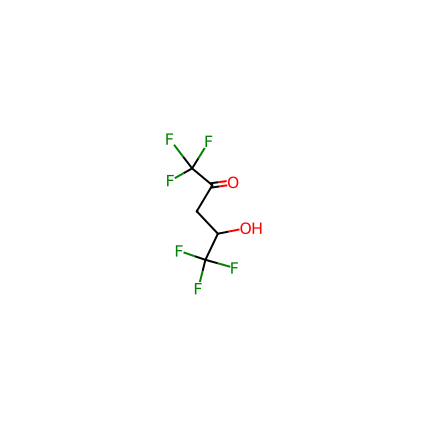 O=C(CC(O)C(F)(F)F)C(F)(F)F